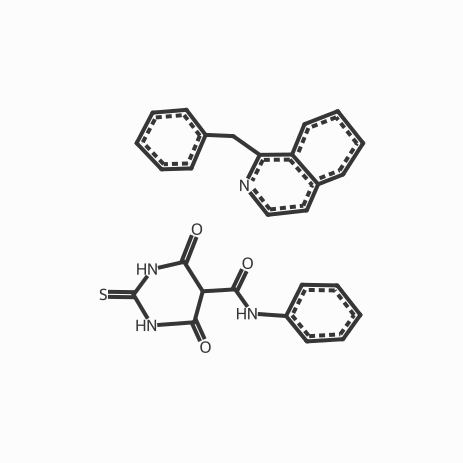 O=C1NC(=S)NC(=O)C1C(=O)Nc1ccccc1.c1ccc(Cc2nccc3ccccc23)cc1